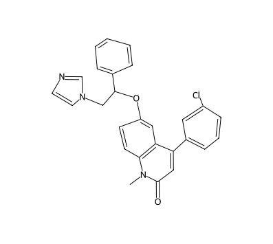 Cn1c(=O)cc(-c2cccc(Cl)c2)c2cc(OC(Cn3ccnc3)c3ccccc3)ccc21